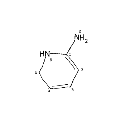 NC1=CC=[C]CN1